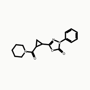 O=C(C1CC1c1nn(-c2ccccc2)c(=O)o1)N1CCCCC1